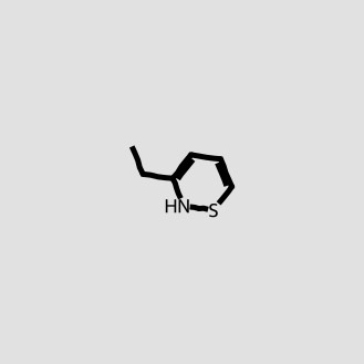 CCC1=CC=CSN1